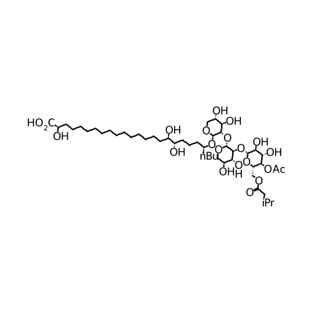 CCCC[C@@H](CCC[C@H](O)[C@H](O)CCCCCCCCCCCCCC[C@@H](O)C(=O)O)O[C@H]1OC[C@H](O)[C@@H](O)[C@@H]1O[C@H]1OC[C@H](O)[C@@H](O)[C@@H]1O[C@H]1O[C@@H](COC(=O)CC(C)C)[C@H](OC(C)=O)[C@@H](O)[C@@H]1O